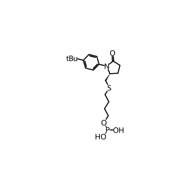 CC(C)(C)c1ccc(N2C(=O)CC[C@H]2CSCCCCOP(O)O)cc1